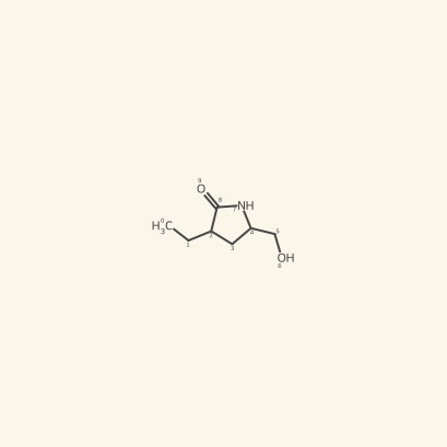 CCC1CC(CO)NC1=O